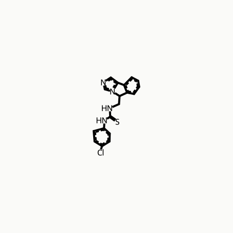 S=C(NCC1c2ccccc2-c2cncn21)Nc1ccc(Cl)cc1